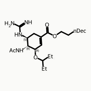 CCCCCCCCCCCCOC(=O)C1=C[C@@H](OC(CC)CC)[C@H](NC(C)=O)[C@@H](NC(=N)N)C1